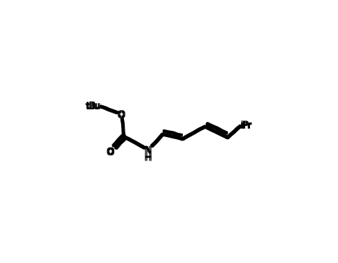 CC(C)C=CC=CNC(=O)OC(C)(C)C